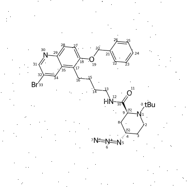 CC(C)(C)N1CC[C@H](N=[N+]=[N-])C[C@H]1C(=O)NCCCCc1c(OCc2ccccc2)ccc2ncc(Br)cc12